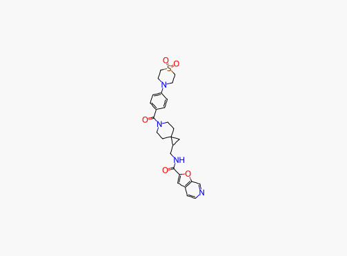 O=C(NCC1CC12CCN(C(=O)c1ccc(N3CCS(=O)(=O)CC3)cc1)CC2)c1cc2ccncc2o1